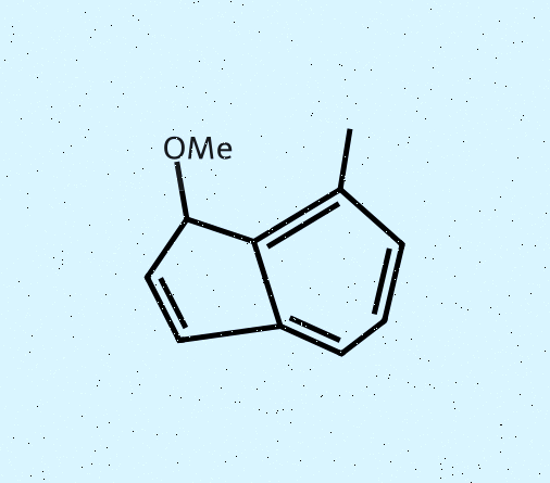 COC1C=Cc2cccc(C)c21